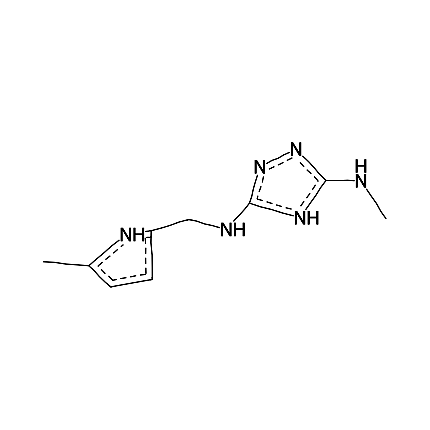 CNc1nnc(NCc2ccc(C)[nH]2)[nH]1